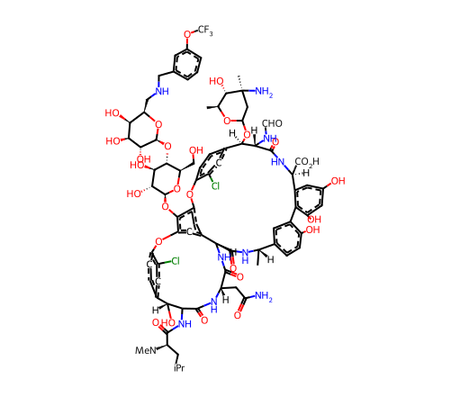 CN[C@H](CC(C)C)C(=O)NC1C(=O)N[C@@H](CC(N)=O)C(=O)N[C@H]2C(=O)N[C@@H](C)c3ccc(O)c(c3)-c3c(O)cc(O)cc3[C@H](C(=O)O)NC(=O)[C@@H](NC=O)[C@H](OC3C[C@](C)(N)[C@@H](O)[C@H](C)O3)c3ccc(c(Cl)c3)Oc3cc2cc(c3O[C@@H]2O[C@H](CO)[C@@H](O[C@@H]3O[C@H](CNCc4cccc(OC(F)(F)F)c4)[C@H](O)[C@H](O)[C@H]3O)[C@H](O)[C@H]2O)Oc2ccc(cc2Cl)[C@H]1O